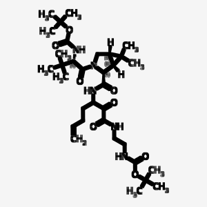 C=CCCC(NC(=O)[C@@H]1[C@@H]2[C@H](CN1C(=O)[C@@H](NC(=O)OC(C)(C)C)C(C)(C)C)C2(C)C)C(=O)C(=O)NCCNC(=O)OC(C)(C)C